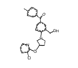 Cc1ccc(C(=O)c2ccc(N3CCC(Oc4ncccc4Cl)C3)c(CO)c2)cc1